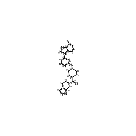 Cc1cccc2c1nnn2-c1ccnc(N[C@H]2CC[C@H](C(=O)N3CCn4cnnc4C3)CC2)n1